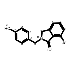 O=C1c2c(Br)cccc2CN1Cc1ccc(O)cc1